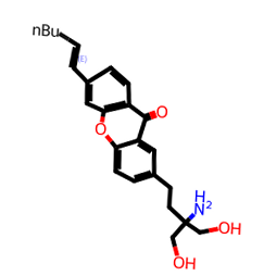 CCCC/C=C/c1ccc2c(=O)c3cc(CCC(N)(CO)CO)ccc3oc2c1